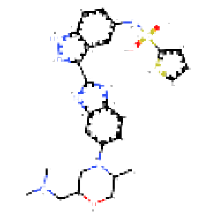 CC1COC(CN(C)C)CN1c1ccc2nc(-c3n[nH]c4ccc(NS(=O)(=O)c5cccs5)cc34)[nH]c2c1